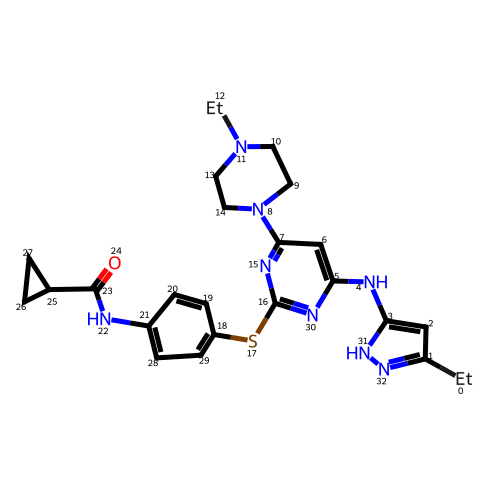 CCc1cc(Nc2cc(N3CCN(CC)CC3)nc(Sc3ccc(NC(=O)C4CC4)cc3)n2)[nH]n1